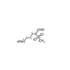 CCCCCCCCCC(C=O)S(C)(=O)=O